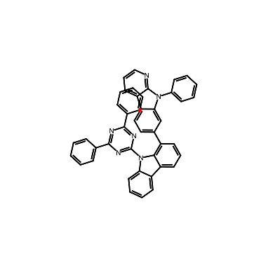 c1ccc(-c2nc(-c3ccccc3)nc(-n3c4ccccc4c4cccc(-c5ccc6c7cccnc7n(-c7ccccc7)c6c5)c43)n2)cc1